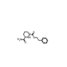 NC(=O)N1CCC[C@@H](C(=O)OCCc2ccccc2)N1